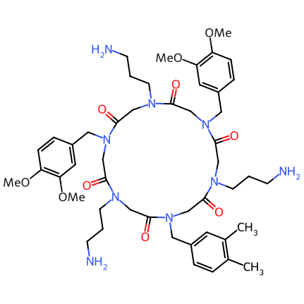 COc1ccc(CN2CC(=O)N(CCCN)CC(=O)N(Cc3ccc(C)c(C)c3)CC(=O)N(CCCN)CC(=O)N(Cc3ccc(OC)c(OC)c3)CC(=O)N(CCCN)CC2=O)cc1OC